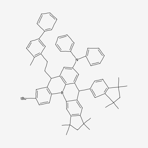 Cc1ccc(-c2ccccc2)cc1CCC1c2cc(C(C)(C)C)ccc2B2c3cc4c(cc3C(c3ccc5c(c3)C(C)(C)CC5(C)C)c3cc(N(c5ccccc5)c5ccccc5)cc1c32)C(C)(C)CC4(C)C